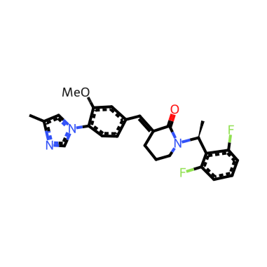 COc1cc(/C=C2\CCCN([C@@H](C)c3c(F)cccc3F)C2=O)ccc1-n1cnc(C)c1